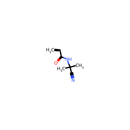 C=CC(=O)NC(C)(C)C#N